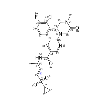 C[C@H](/C=C/S(=O)(=O)C1CC1)NC(=O)c1cnc(N2CC(=O)N(C)C[C@H]2c2cccc(F)c2Cl)cn1